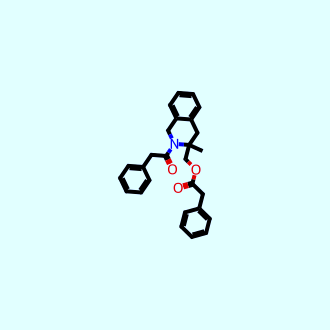 CC1(COC(=O)Cc2ccccc2)Cc2ccccc2CN1C(=O)Cc1ccccc1